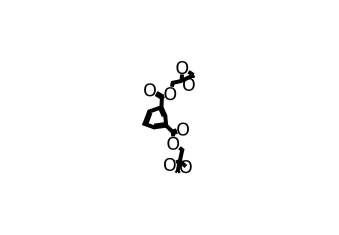 O=C(OCC12OC1O2)c1cccc(C(=O)OCC23OC2O3)c1